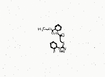 CCOC(=O)c1ccccc1NC(=O)CSc1nnnn1-c1ccccc1F